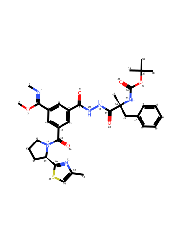 C/N=C(\OC)c1cc(C(=O)NNC(=O)[C@@](C)(Cc2ccccc2)NC(=O)OC(C)(C)C)cc(C(=O)N2CCC[C@@H]2c2nc(C)cs2)c1